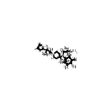 [2H]c1c([2H])c([2H])c(N(C(=O)C([2H])([2H])C)C2(OC)CCN(C([2H])([2H])C([2H])([2H])c3cccs3)CC2)c([2H])c1[2H]